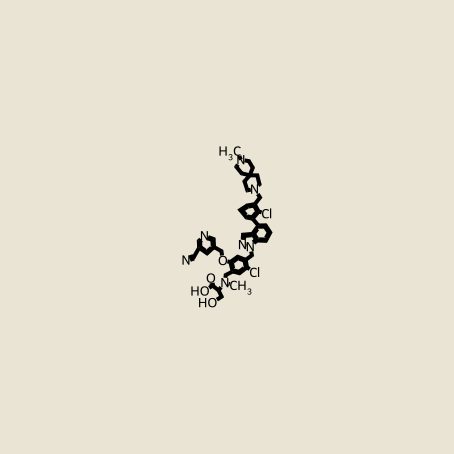 CN1CCC2(CC1)CCN(Cc1cccc(-c3cccc4c3cnn4Cc3cc(OCc4cncc(C#N)c4)c(CN(C)C(CO)C(=O)O)cc3Cl)c1Cl)CC2